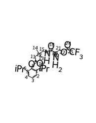 CC(C)c1cccc(C(C)C)c1OC(=O)CC(C)(C)CNC(=O)[C@@H](N)COC(=O)C(F)(F)F